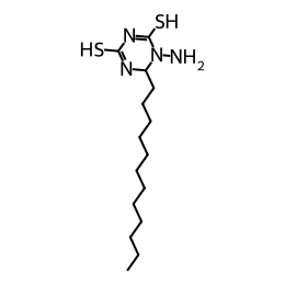 CCCCCCCCCCCCC1N=C(S)N=C(S)N1N